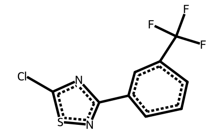 FC(F)(F)c1cccc(-c2nsc(Cl)n2)c1